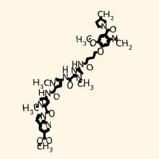 C=Nc1cc(OCCCC(=O)Nc2cn(C)c(C(=O)Nc3cc(C(=O)Nc4cc(C(=O)n5ccc6cc(C(=O)OC)cnc65)n(C)c4)n(C)c3)n2)c(OC)cc1C(=O)N1CCC(=C)C1